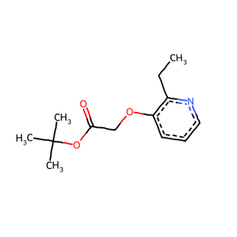 CCc1ncccc1OCC(=O)OC(C)(C)C